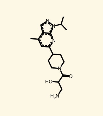 Cc1cc(C2CCN(C(=O)C(O)CN)CC2)nc2c1cnn2C(C)C